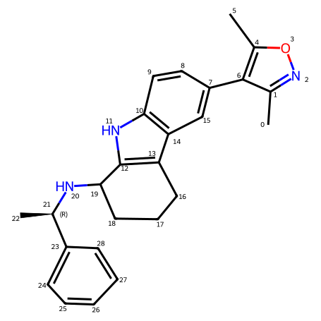 Cc1noc(C)c1-c1ccc2[nH]c3c(c2c1)CCCC3N[C@H](C)c1ccccc1